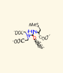 CSC[C@H](NC(=O)N(CC(=O)[O-])CC(=O)[O-])C(=O)[O-].[Na+].[Na+].[Na+]